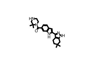 CC1(C)CCc2c(-c3cc4ccc(C(=O)N5CCNCC5(C)C)cc4[nH]3)n[nH]c2C1